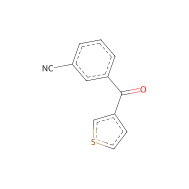 N#Cc1cccc(C(=O)c2ccsc2)c1